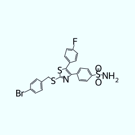 NS(=O)(=O)c1ccc(-c2nc(SCc3ccc(Br)cc3)sc2-c2ccc(F)cc2)cc1